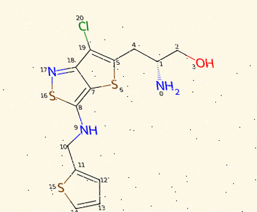 N[C@@H](CO)Cc1sc2c(NCc3cccs3)snc2c1Cl